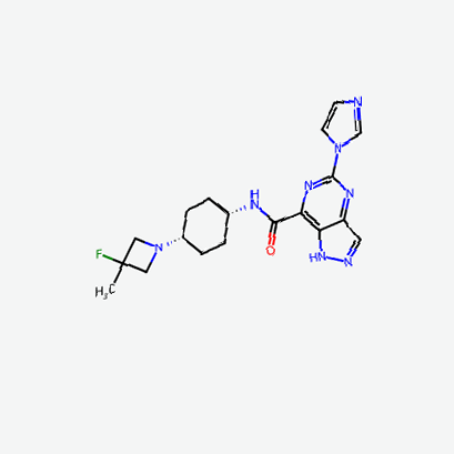 CC1(F)CN([C@H]2CC[C@@H](NC(=O)c3nc(-n4ccnc4)nc4cn[nH]c34)CC2)C1